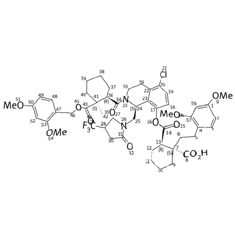 COc1ccc(CC[C@@]2(C(=O)O)CCCC[C@H]2C(=O)Oc2ccc(Cl)c3c2[C@@H](CN2CC(C(F)(F)F)CC2=O)N(C(=O)[C@@H]2CCCC[C@]2(C)C(=O)OCc2ccc(OC)cc2OC)CC3)c(OC)c1